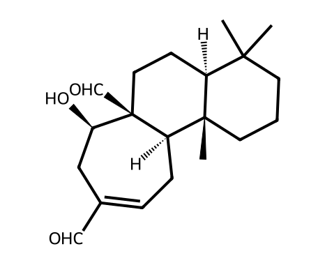 CC1(C)CCC[C@]2(C)[C@H]3CC=C(C=O)C[C@@H](O)[C@]3(C=O)CC[C@@H]12